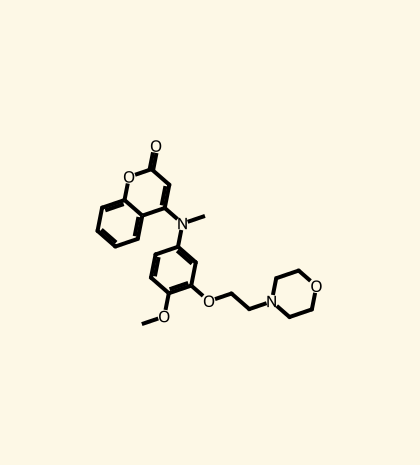 COc1ccc(N(C)c2cc(=O)oc3ccccc23)cc1OCCN1CCOCC1